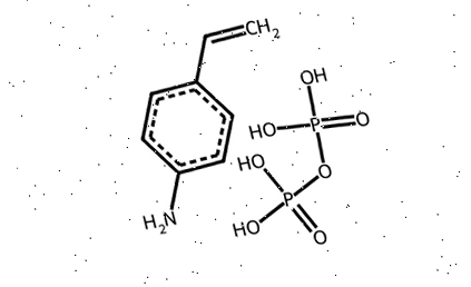 C=Cc1ccc(N)cc1.O=P(O)(O)OP(=O)(O)O